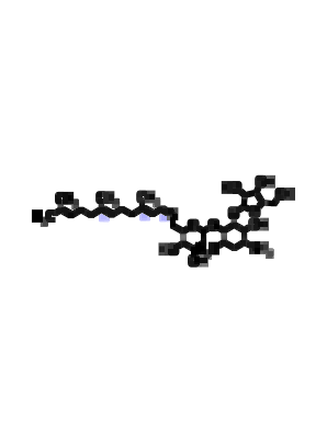 CC(C)=CCC/C(C)=C/CC/C(C)=C/C=N\CC1OC(OC2C(N)CC(N)C(O)C2OC2OC(CO)C(O)C2O)CC(O)C1O